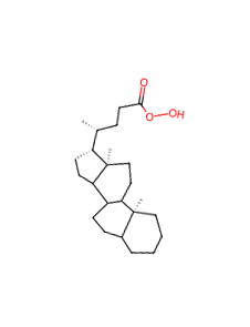 C[C@H](CCC(=O)OO)[C@H]1CCC2C3CCC4CCCC[C@]4(C)C3CC[C@@]21C